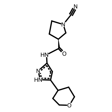 N#CN1CC[C@H](C(=O)Nc2cc(C3CCOCC3)[nH]n2)C1